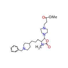 COC(=O)CCN1CCN(C2OC(=O)N(C)C2CCCC2CCN(Cc3ccccc3)CC2)CC1